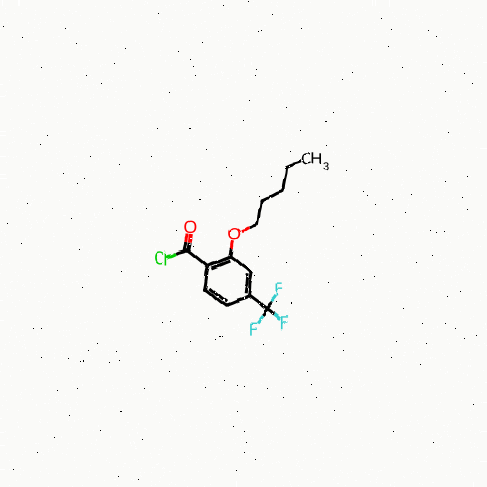 CCCCCOc1cc(C(F)(F)F)ccc1C(=O)Cl